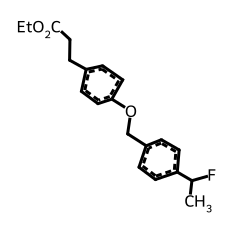 CCOC(=O)CCc1ccc(OCc2ccc(C(C)F)cc2)cc1